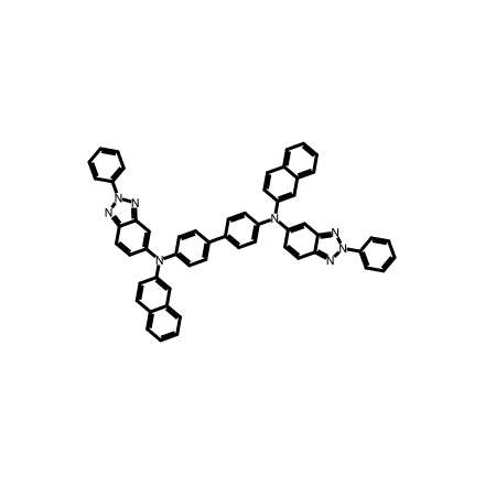 c1ccc(-n2nc3ccc(N(c4ccc(-c5ccc(N(c6ccc7ccccc7c6)c6ccc7nn(-c8ccccc8)nc7c6)cc5)cc4)c4ccc5ccccc5c4)cc3n2)cc1